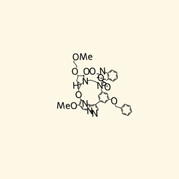 COCCO[C@@H]1C[C@H]2COc3nc4c(cnn4cc3OC)-c3cc(OCc4ccccc4)cc(c3)N(S(=O)(=O)c3ccccc3[N+](=O)[O-])CCN2C1=O